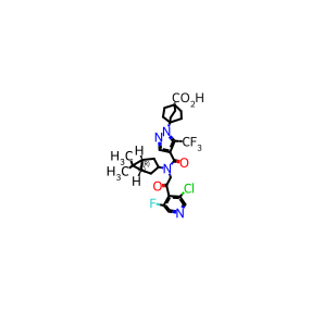 CC1(C)[C@@H]2CC(N(CC(=O)c3c(F)cncc3Cl)C(=O)c3cnn(C45CCC(C(=O)O)(CC4)CC5)c3C(F)(F)F)C[C@@H]21